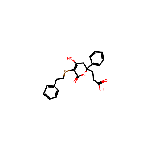 O=C(O)CCC1(c2ccccc2)CC(O)=C(SCCc2ccccc2)C(=O)O1